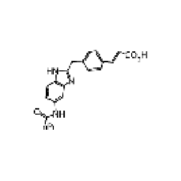 CCCC(=O)Nc1ccc2[nH]c(Cc3ccc(/C=C/C(=O)O)cc3)nc2c1